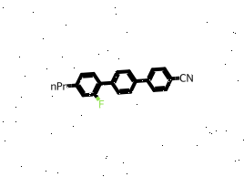 CCCc1ccc(-c2ccc(-c3ccc(C#N)cc3)cc2)c(F)c1